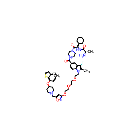 C=c1ccs/c1=C(/C=C\C)OC1CCN(Cc2cc(OCCOCCOCCn3c(C)c(F)c4cc(C(=O)N5CCN(C(=O)C(NC(=O)[C@H](C)N)=C6CCCCC6)CC5)ccc43)no2)CC1